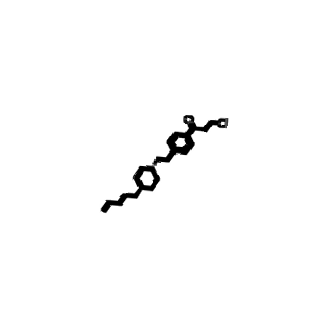 CCCCC[C@H]1CC[C@H](CCc2ccc(C(=O)CCCl)cc2)CC1